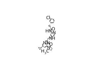 C[C@H]1CCC(=O)N1c1cc(C2CC2)cn2cc(CNc3ccnc(NC(=O)[C@H]4C[C@@H]4c4cccc(Cl)c4)c3)nc12